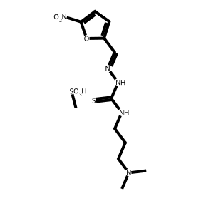 CN(C)CCCNC(=S)NN=Cc1ccc([N+](=O)[O-])o1.CS(=O)(=O)O